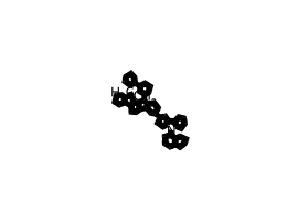 CC1(C)c2ccccc2-c2ccc3c(c21)C(c1cccc(-c2ccccc2)c1)c1ccc(-c2ccc4c(c2)c2ccccc2n4-c2cccc4ccccc24)cc1-3